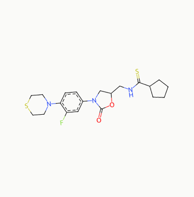 O=C1OC(CNC(=S)C2CCCC2)CN1c1ccc(N2CCSCC2)c(F)c1